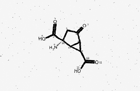 N[C@]1(C(=O)O)CC(=O)C2C(C(=O)O)C21